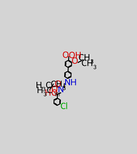 CC(C)COc1cc(-c2ccc(NCCN(C[C@H](O)c3cccc(Cl)c3)C(=O)OC(C)(C)C)cc2)ccc1C(=O)O